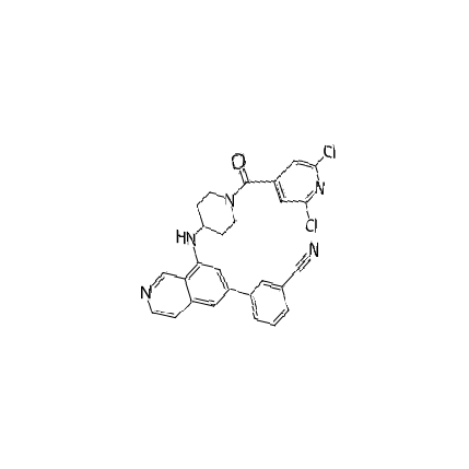 N#Cc1cccc(-c2cc(NC3CCN(C(=O)c4cc(Cl)nc(Cl)c4)CC3)c3cnccc3c2)c1